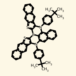 CC(C)(C)c1ccc(N2c3cc4ccccc4c4c3B(c3sc5cc6ccccc6cc5c32)c2sc3cc5ccccc5cc3c2N4c2ccc(C(C)(C)C)cc2)cc1